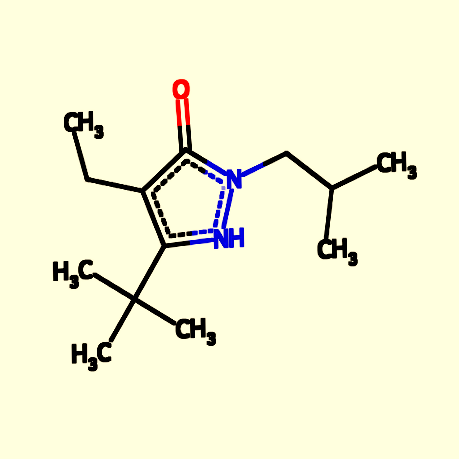 CCc1c(C(C)(C)C)[nH]n(CC(C)C)c1=O